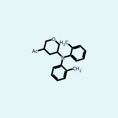 [CH2]c1ccccc1N(c1ccccc1[CH2])C1COCC(C(C)=O)C1